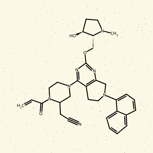 C=CC(=O)N1CCN(c2nc(OC[C@@H]3[C@@H](O)CCN3C)nc3c2CCN(c2cccc4ccccc24)C3)CC1CC#N